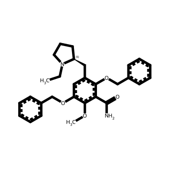 CCN1CCC[C@H]1Cc1cc(OCc2ccccc2)c(OC)c(C(N)=O)c1OCc1ccccc1